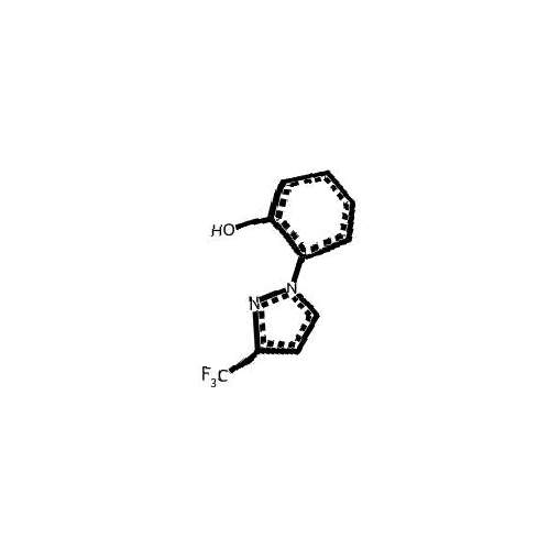 Oc1ccccc1-n1ccc(C(F)(F)F)n1